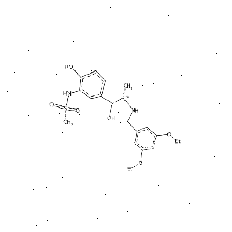 CCOc1cc(CN[C@@H](C)C(O)c2ccc(O)c(NS(C)(=O)=O)c2)cc(OCC)c1